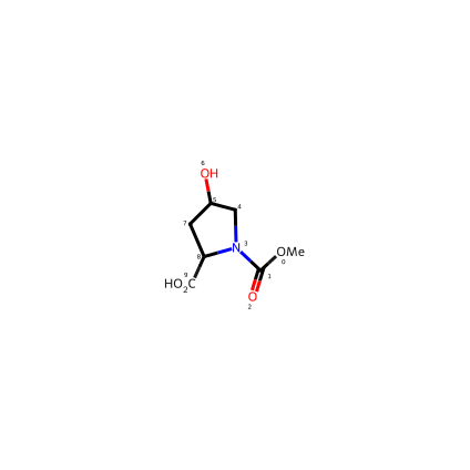 COC(=O)N1CC(O)CC1C(=O)O